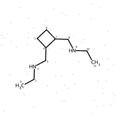 CCNCC1CCC1CNCC